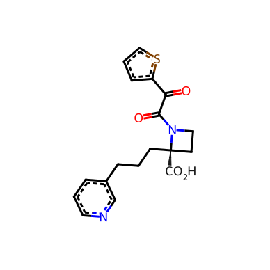 O=C(C(=O)N1CC[C@@]1(CCCc1cccnc1)C(=O)O)c1cccs1